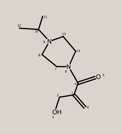 C=C(CO)C(=O)N1CCN(C(C)C)CC1